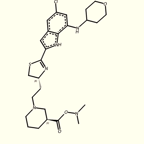 CN(C)OC(=O)[C@H]1CCCN(CC[C@@H]2CSC(c3cc4cc(Cl)cc(NC5CCOCC5)c4[nH]3)=N2)C1